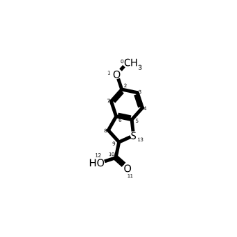 COc1ccc2c(c1)CC(C(=O)O)S2